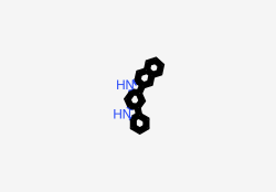 c1ccc2cc3c(cc2c1)[nH]c1cc2[nH]c4ccccc4c2cc13